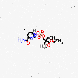 CCOC(=O)C(CC)(CC)COS(=O)(=O)ON1C[N@]2C[C@H]1CC[C@H]2C(N)=O